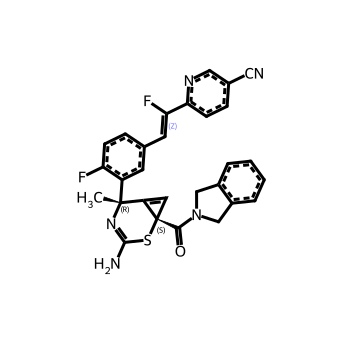 C[C@]1(c2cc(/C=C(\F)c3ccc(C#N)cn3)ccc2F)N=C(N)S[C@@]2(C(=O)N3Cc4ccccc4C3)C=C21